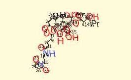 CC1=CC(=O)[C@@H](OC(=O)CCCC(=O)NCCN2C(=O)C=CC2=O)[C@]2(C)C3[C@]45CO[C@]3(O)[C@H](O)[C@H](C)C4C(OC(=O)CC(O)(C(C)C)C(C)C)C(=O)O[C@@H]5C[C@@H]12